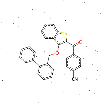 N#Cc1ccc(C(=O)c2sc3ccccc3c2OCc2ccccc2-c2ccccc2)cc1